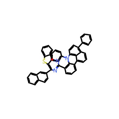 c1ccc(-c2ccc3c4c(cccc24)-c2cccc(-c4nc(-c5ccc6ccccc6c5)c5sc6ccccc6c5n4)c2N3c2ccccc2)cc1